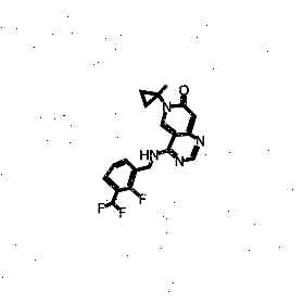 CC1(n2cc3c(NCc4cccc(C(F)F)c4F)ncnc3cc2=O)CC1